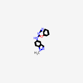 Cn1ncc2cc(N/C(=N/C#N)Oc3ccccc3)ccc21